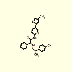 Cc1cnn(-c2ccc(NC(=O)C(NC[C@@H](C)c3ccc(C#N)cc3)c3ccccc3)nc2)c1